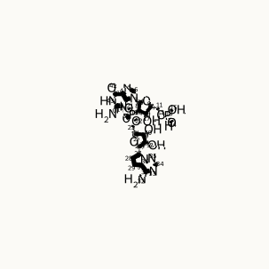 Nc1nc2c(ncn2[C@@H]2O[C@H](CO[PH](=O)O)[C@@H](O)[C@H]2P(=O)(O)OC[C@H]2O[C@@H](c3ccc4c(N)ncnn34)[C@H](O)[C@@H]2O)c(=O)[nH]1